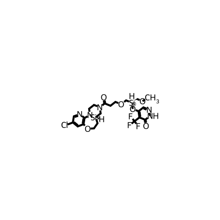 COC[Si@@H](COCCC(=O)N1CCN2c3ncc(Cl)cc3OCC[Si@H]2C1)Oc1cn[nH]c(=O)c1C(F)(F)F